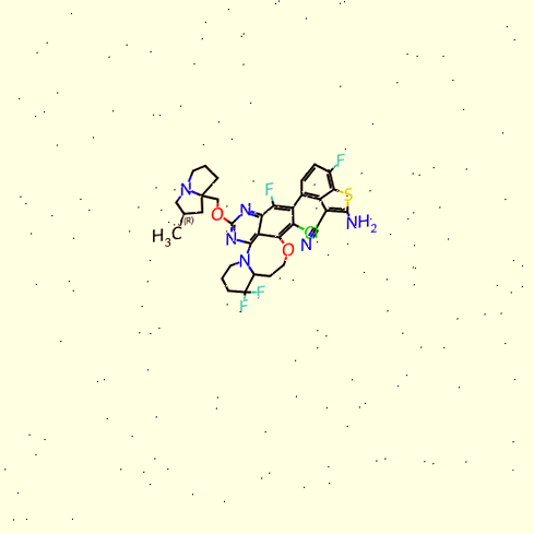 C[C@H]1CN2CCCC2(COc2nc3c4c(c(Cl)c(-c5ccc(F)c6sc(N)c(C#N)c56)c(F)c4n2)OCCC2N3CCCC2(F)F)C1